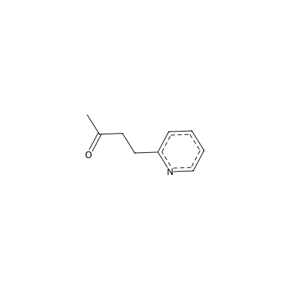 CC(=O)CCc1ccccn1